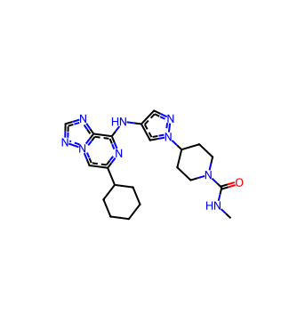 CNC(=O)N1CCC(n2cc(Nc3nc(C4CCCCC4)cn4ncnc34)cn2)CC1